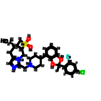 CC1(c2ccc(Cl)cc2F)Oc2cccc(C3CCN(Cc4ncc(CCC(=O)O)n4CC4CCS4(=O)=O)CC3)c2O1